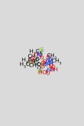 CC(C)OC(=O)c1cc(-n2c(=O)cc(C(F)(F)F)n(C)c2=O)ccc1Cl.COc1nc(C)nc(NC(=O)NS(=O)(=O)c2ccccc2CCC(F)(F)F)n1.C[S+](C)C.O=C(O)CNCP(=O)([O-])O